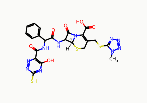 Cn1nnnc1SCC1=C(C(=O)O)N2C(=O)C(NC(=O)C(NC(=O)c3nnc(S)nc3O)c3ccccc3)[C@@H]2SC1